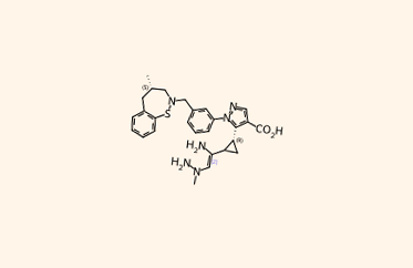 C[C@H]1Cc2ccccc2SN(Cc2cccc(-n3ncc(C(=O)O)c3[C@@H]3CC3/C(N)=C/N(C)N)c2)C1